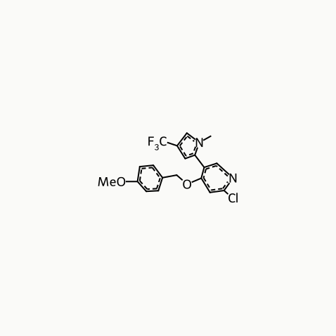 COc1ccc(COc2cc(Cl)ncc2-c2cc(C(F)(F)F)cn2C)cc1